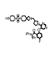 CC(C)N(C(=O)c1cc(F)ccc1Oc1cncnc1N1CCC(CN2CC3(CCN(S(=O)(=O)N4CCNCC4)CC3)C2)C1)C(C)C